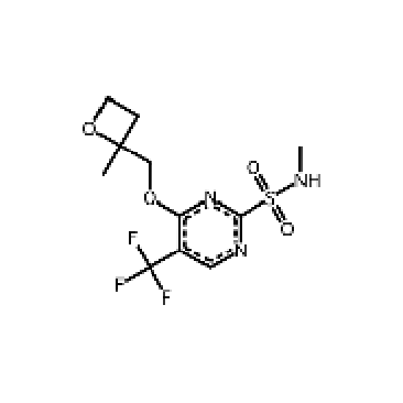 CNS(=O)(=O)c1ncc(C(F)(F)F)c(OCC2(C)CCO2)n1